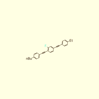 CCCCc1ccc(C#Cc2ccc(C#Cc3ccc(CC)cc3)cc2F)cc1